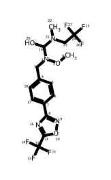 CON(Cc1ccc(-c2noc(C(F)(F)F)n2)cc1)C(O)N(C)CC(F)(F)F